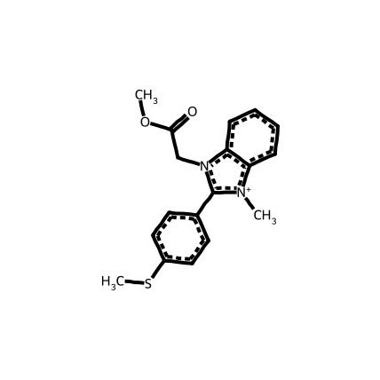 COC(=O)Cn1c(-c2ccc(SC)cc2)[n+](C)c2ccccc21